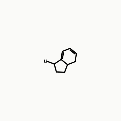 [Li][CH]1CCC2CC=CC=C12